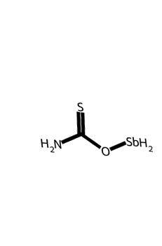 NC(=S)[O][SbH2]